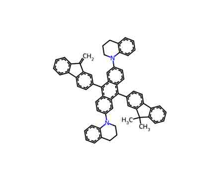 C=C1c2ccccc2-c2ccc(-c3c4ccc(N5CCCc6ccccc65)cc4c(-c4ccc5c(c4)C(C)(C)c4ccccc4-5)c4ccc(N5CCCc6ccccc65)cc34)cc21